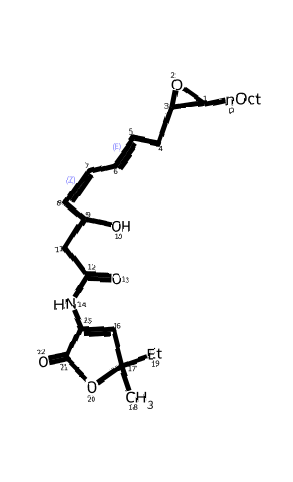 CCCCCCCCC1OC1C/C=C/C=C\C(O)CC(=O)NC1=CC(C)(CC)OC1=O